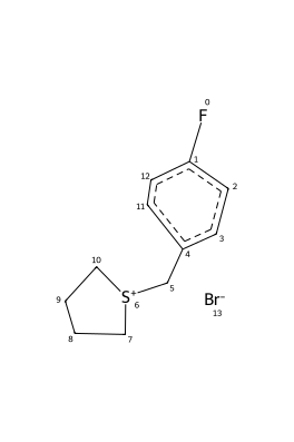 Fc1ccc(C[S+]2CCCC2)cc1.[Br-]